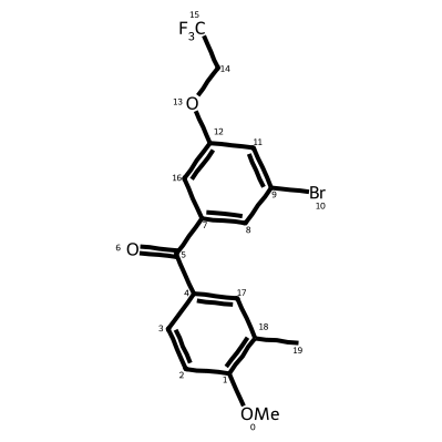 COc1ccc(C(=O)c2cc(Br)cc(OCC(F)(F)F)c2)cc1C